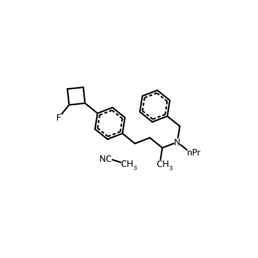 CC#N.CCCN(Cc1ccccc1)C(C)CCc1ccc(C2CCC2F)cc1